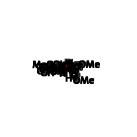 COc1ccc(C(Nc2ncnc3c2ncn3[C@@H]2O[C@H](CCP(=O)(O)O)[C@@H](OC)[C@H]2O)(c2ccccc2)c2ccc(OC)cc2)cc1